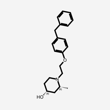 C[C@@H]1C[C@H](O)CCN1CCOc1ccc(Cc2ccccc2)cc1